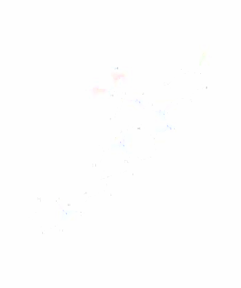 CC(C)c1nn(-c2ccc(F)cc2)c2nc(C(=O)O)cc(N3CCC(CCCN4CCCCC4)CC3)c12